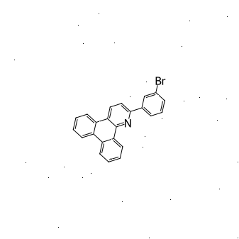 Brc1cccc(-c2ccc3c4ccccc4c4ccccc4c3n2)c1